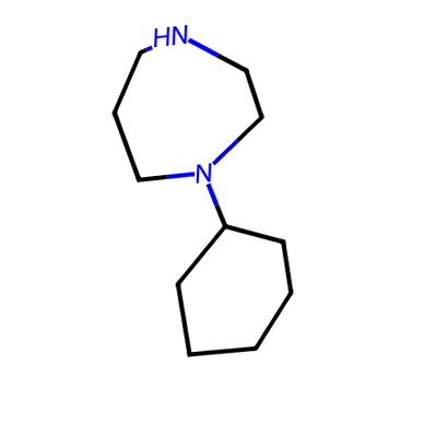 C1CCC(N2CCCNCC2)CC1